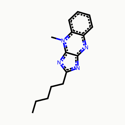 CCCCCc1nc2nc3ccccc3n(C)c-2n1